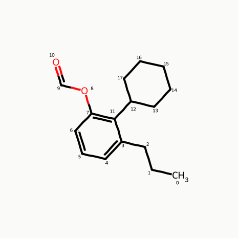 CCCc1cc[c]c(OC=O)c1C1CCCCC1